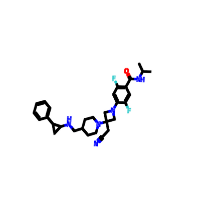 CC(C)NC(=O)c1cc(F)c(N2CC(CC#N)(N3CCC(CNC4CC4c4ccccc4)CC3)C2)cc1F